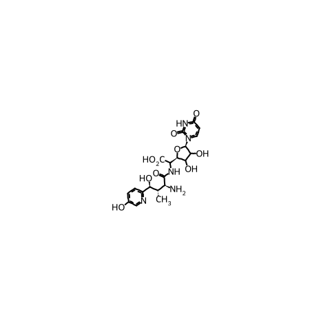 C[C@@H]([C@H](N)C(=O)NC(C(=O)O)[C@H]1O[C@@H](n2ccc(=O)[nH]c2=O)C(O)C1O)[C@H](O)c1ccc(O)cn1